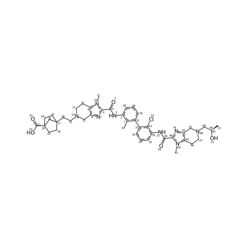 Cc1c(NC(=O)c2nc3c(n2C)CCN(CCC24CCC(C(=O)O)(CC2)C4)C3)cccc1-c1cccc(NC(=O)c2nc3c(n2C)CCN(C[C@@H](C)O)C3)c1Cl